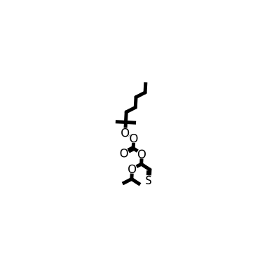 CCCCCC(C)(C)OOC(=O)OC(C=S)OC(C)C